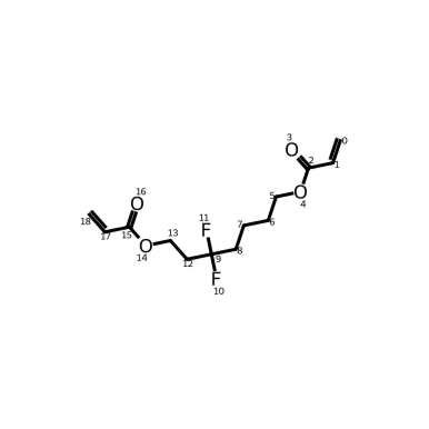 C=CC(=O)OCCCCC(F)(F)CCOC(=O)C=C